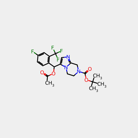 CC(=O)OC(c1ccc(F)cc1C(F)(F)F)c1cnc2n1CCN(C(=O)OC(C)(C)C)C2